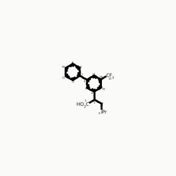 CC(C)CC(C(=O)O)c1cc(-c2ccccc2)cc(C(F)(F)F)c1